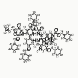 CN(CC(=O)OCc1ccccc1)C(=O)[C@H](Cc1cc(-c2ccc(OCc3ccccc3)c(C[C@H](NC(=O)OCc3ccccc3)C(=O)OCC[Si](C)(C)C)c2)ccc1OCc1ccccc1)NC(=O)[C@H](C[C@H](CNC(=O)OCc1ccccc1)O[Si](C)(C)C(C)(C)C)NC(=O)OC(C)(C)C